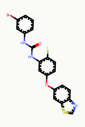 O=C(Nc1cccc(Br)c1)Nc1cc(Oc2ccc3ncsc3c2)ccc1F